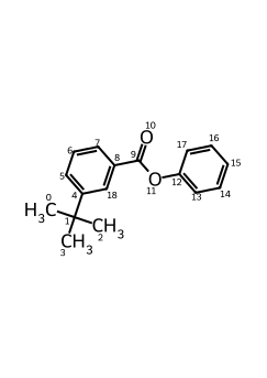 CC(C)(C)c1cccc(C(=O)Oc2ccccc2)c1